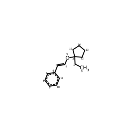 CCC1(OC=Cc2ccccc2)CCCC1